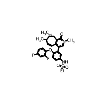 CCS(=O)(=O)Nc1ccc(Oc2ccc(F)cc2F)c(-c2cn(C)c(=O)c3c2C=CC(C)[C@H](C)C3)c1